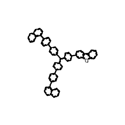 c1ccc2c(-c3ccc(-c4ccc(C(c5ccc(-c6ccc(-c7cccc8ccccc78)cc6)cc5)c5ccc(-c6ccc7c(c6)oc6ccccc67)cc5)cc4)cc3)cccc2c1